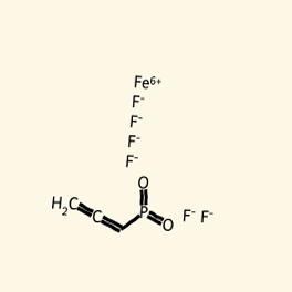 C=C=CP(=O)=O.[F-].[F-].[F-].[F-].[F-].[F-].[Fe+6]